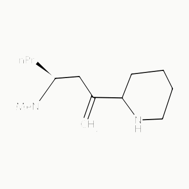 C=C(C[C@H](CCC)NC)C1CCCCN1